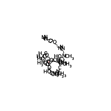 CO[C@]1(C)C[C@H](O[C@H]2[C@H](C)[C@@H](O[C@@H]3O[C@H](C)C[C@H](N(C)CCc4cn(CCCOc5ccc(-n6ccnn6)cc5)nn4)[C@H]3O)[C@](C)(O)CCCN(C)[C@H](C)[C@@H](O)[C@](C)(O)[C@@H](I)OC(=O)[C@@H]2C)O[C@@H](C)[C@@H]1O